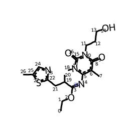 CCO/C(=N/c1c(C)c(=O)n(CCCO)c(=O)n1C)C(C)Cc1ncc(C)s1